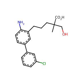 CC(CO)(CCCc1cc(-c2cccc(Cl)c2)ccc1N)C(=O)O